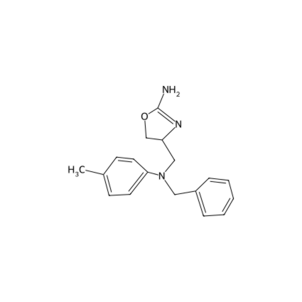 Cc1ccc(N(Cc2ccccc2)CC2COC(N)=N2)cc1